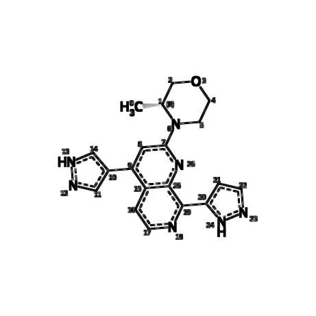 C[C@@H]1COCCN1c1cc(-c2cn[nH]c2)c2ccnc(-c3ccn[nH]3)c2n1